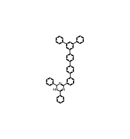 c1ccc(C2=NC(c3cccc(-c4ccc(-c5ccc(-c6cc(-c7ccccc7)cc(-c7ccccc7)c6)cc5)cc4)c3)=NC(c3ccccc3)N2)cc1